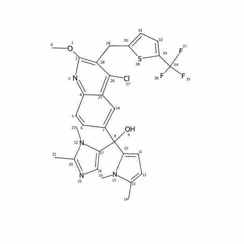 COc1nc2ccc(C(O)(c3ccc(C)n3C)c3cnc(C)n3C)cc2c(Cl)c1Cc1ccc(C(F)(F)F)s1